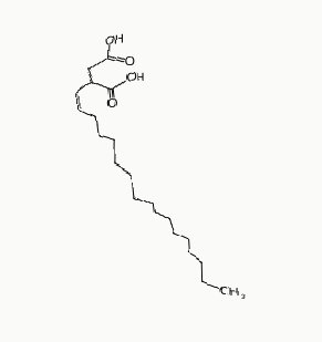 CCCCCCCCCCCCCCC/C=C\C(CC(=O)O)C(=O)O